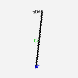 CCCCCCCCCCCCCCCCCCCCCCCCCCCCCCCCCCCCCCCCCCCCCCCCCCCCCC[N+](C)(C)C.[Cl-]